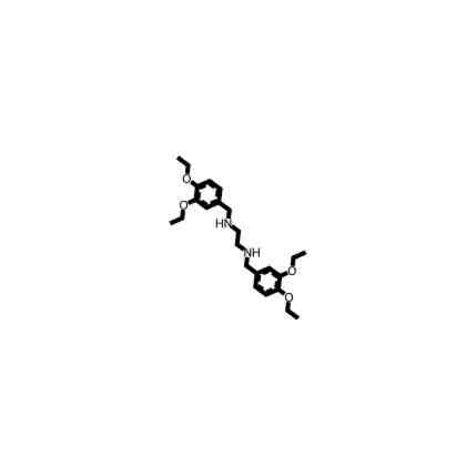 CCOc1ccc(CNCCNCc2ccc(OCC)c(OCC)c2)cc1OCC